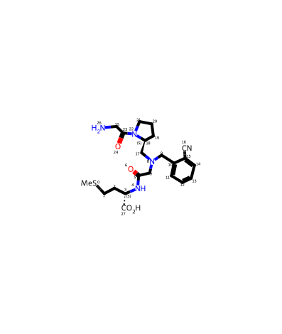 CSCC[C@H](NC(=O)CN(Cc1ccccc1C#N)C[C@@H]1CCCN1C(=O)CN)C(=O)O